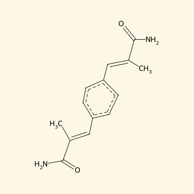 C/C(=C\c1ccc(/C=C(\C)C(N)=O)cc1)C(N)=O